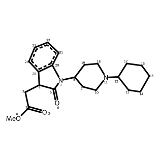 COC(=O)CC1C(=O)N(C2CCN(C3CCCCC3)CC2)c2ccccc21